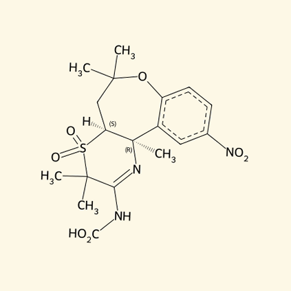 CC1(C)C[C@H]2[C@](C)(N=C(NC(=O)O)C(C)(C)S2(=O)=O)c2cc([N+](=O)[O-])ccc2O1